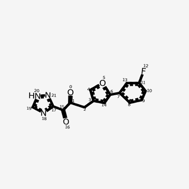 O=C(Cc1coc(-c2cccc(F)c2)c1)C(=O)c1nc[nH]n1